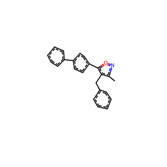 Cc1noc(-c2ccc(-c3ccccc3)cc2)c1Cc1ccccc1